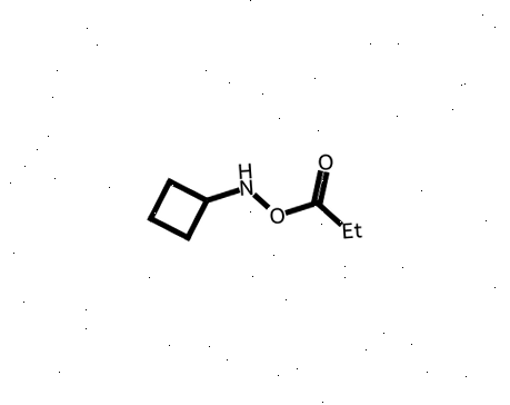 CCC(=O)ONC1CCC1